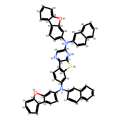 c1ccc2cc(N(c3ccc4c(c3)oc3ccccc34)c3ccc4c(c3)sc3nc(N(c5ccc6ccccc6c5)c5ccc6c(c5)oc5ccccc56)cnc34)ccc2c1